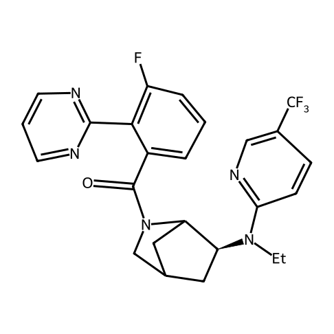 CCN(c1ccc(C(F)(F)F)cn1)[C@H]1CC2CC1N(C(=O)c1cccc(F)c1-c1ncccn1)C2